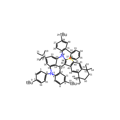 CC(C)(C)c1ccc(N2c3ccc(C(C)(C)C)cc3B3c4c2cc([Si](C)(C)C)cc4N(c2ccc(C(C)(C)C)cc2-c2ccccc2)c2sc4cc5c(cc4c23)C(C)(C)CCC5(C)C)cc1